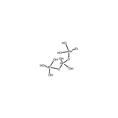 CC[PH](O)(O)O[PH](O)(O)O[PH](O)(O)O